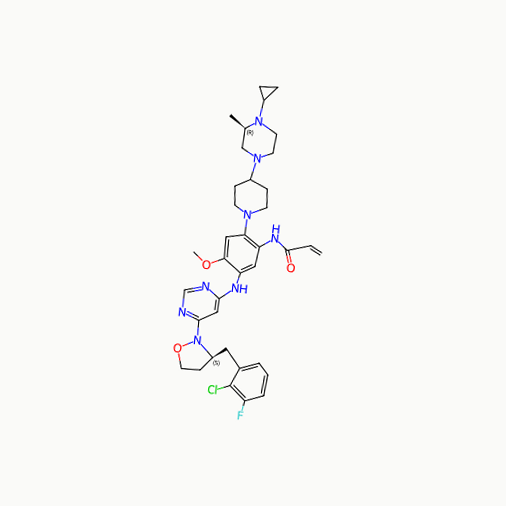 C=CC(=O)Nc1cc(Nc2cc(N3OCC[C@@H]3Cc3cccc(F)c3Cl)ncn2)c(OC)cc1N1CCC(N2CCN(C3CC3)[C@H](C)C2)CC1